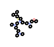 c1ccc(N(c2ccc(-c3ccc4c(c3)c3ccc5c6cc7c8ccccc8c8ccccc8c7cc6sc5c3n4-c3ccc4c(c3)c3cc(-c5ccc6c(c5)c5ccccc5n6-c5ccccc5)ccc3n4-c3ccccc3)cc2)c2ccc3oc4ccccc4c3c2)cc1